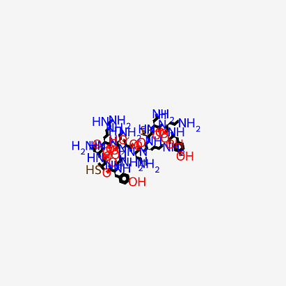 C[C@@H](O)[C@H](N)C(=O)N[C@@H](Cc1ccc(O)cc1)C(=O)N[C@H](C(=O)N[C@@H](CC(N)=O)C(=O)N[C@@H](CCCNC(=N)N)C(=O)N[C@@H](CCN)C(=O)N[C@H](C(=O)N[C@H](CCN)C(=O)N[C@@H](CCCCN)C(=O)N[C@@H](CS)C(=O)N[C@@H](CCN)C(=O)N[C@@H](CCCN)C(=O)N[C@@H](Cc1ccc(O)cc1)C(=O)O)[C@@H](C)O)C(C)(C)S